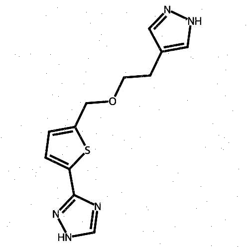 c1nc(-c2ccc(COCCc3cn[nH]c3)s2)n[nH]1